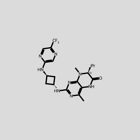 Cc1nc(N[C@H]2C[C@H](Nc3cnc(C(F)(F)F)cn3)C2)nc2c1NC(=O)[C@H](C(C)C)N2C